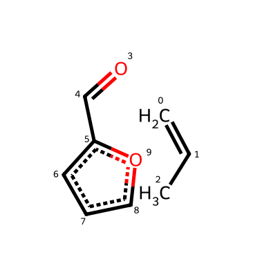 C=CC.O=Cc1ccco1